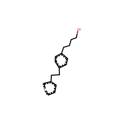 OCCCCc1ccc(CCc2ccccc2)cc1